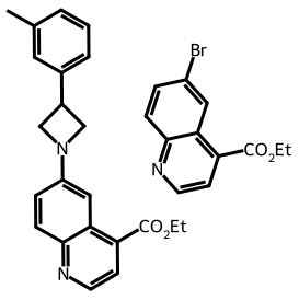 CCOC(=O)c1ccnc2ccc(Br)cc12.CCOC(=O)c1ccnc2ccc(N3CC(c4cccc(C)c4)C3)cc12